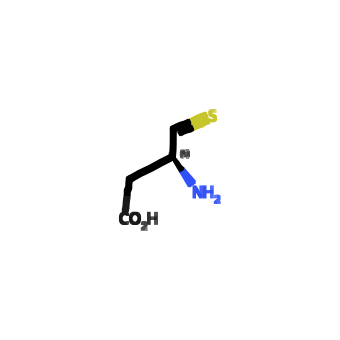 N[C@H](C=S)CC(=O)O